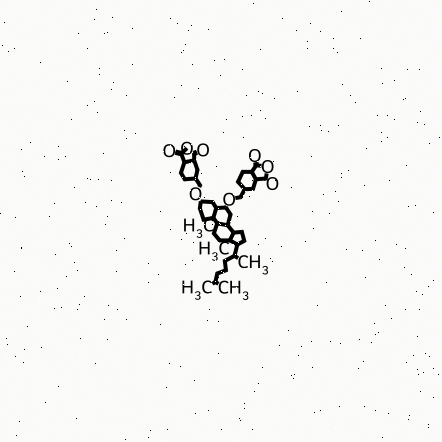 CC(C)CCCC(C)C1CCC2C3CC(OCC4CCC5C(=O)OC(=O)C5C4)C4CC(OCC5CCC6C(=O)OC(=O)C6C5)CCC4(C)C3CCC12C